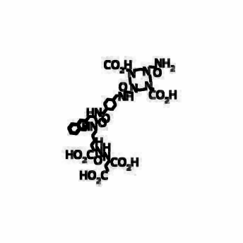 NC(=O)CN1CCN(CC(=O)O)CCN(CC(=O)NCC2CCC(C(=O)NC(Cc3ccc4ccccc4c3)C(=O)NCCCCC(NC(=O)NC(CCC(=O)O)C(=O)O)C(=O)O)CC2)CCN(CC(=O)O)CC1